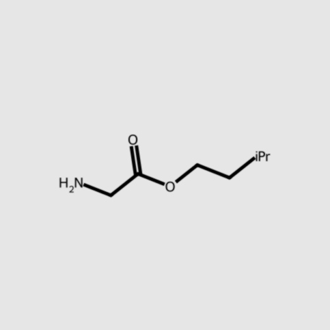 CC(C)CCOC(=O)CN